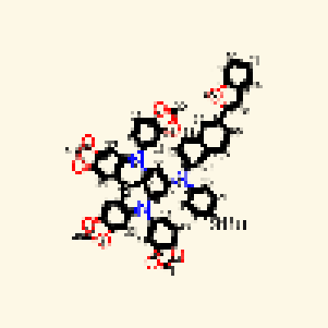 CC(C)(C)c1ccc(N(c2cc3c4c(c2)N(c2ccc5c(c2)OCO5)c2cc5c(cc2B4c2cc4c(cc2N3c2ccc3c(c2)OCO3)OCO4)OCO5)c2ccc3cc(-c4cc5ccccc5o4)ccc3c2)cc1